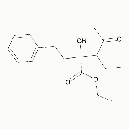 CCOC(=O)C(O)(CCc1ccccc1)C(CC)C(C)=O